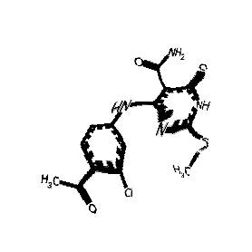 CSc1nc(Nc2ccc(C(C)=O)c(Cl)c2)c(C(N)=O)c(=O)[nH]1